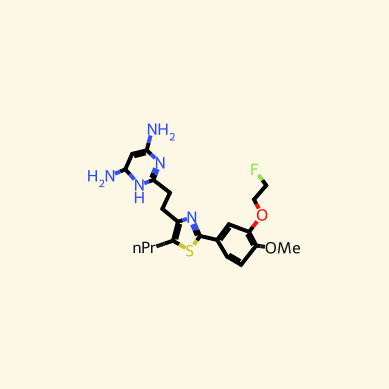 CCCc1sc(-c2ccc(OC)c(OCCF)c2)nc1CCC1=NC(N)=CC(N)N1